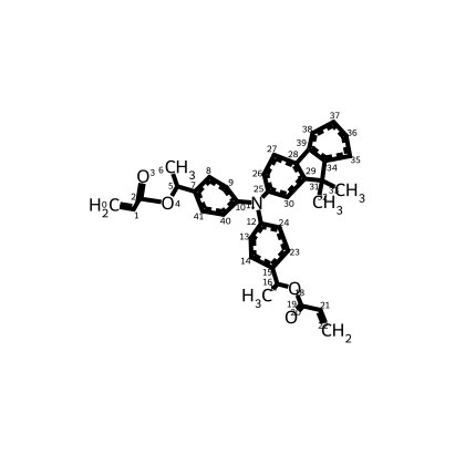 C=CC(=O)OC(C)c1ccc(N(c2ccc(C(C)OC(=O)C=C)cc2)c2ccc3c(c2)C(C)(C)c2ccccc2-3)cc1